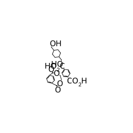 O=C(O)c1ccc(C(=O)O)cc1.O=C1OCCOC(=O)c2ccc1cc2.OCC1CCC(CO)CC1